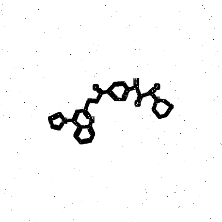 O=C(Nc1ccc(C(=O)C=Cc2cc(-n3cccc3)c3ccccc3n2)cc1)C(=O)N1CCCCC1